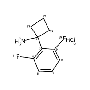 Cl.NC1(c2c(F)cccc2F)CCC1